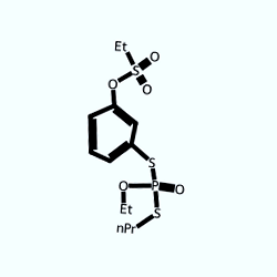 CCCSP(=O)(OCC)Sc1cccc(OS(=O)(=O)CC)c1